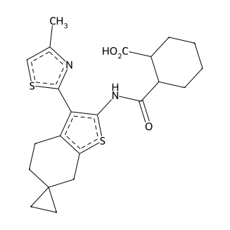 Cc1csc(-c2c(NC(=O)C3CCCCC3C(=O)O)sc3c2CCC2(CC2)C3)n1